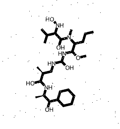 CCCC(C(NC(O)NC[C@H](C)C(O)N[C@H](C)C(O)C1CCCCC1)OC)N(C)C(O)C(NO)C(C)C